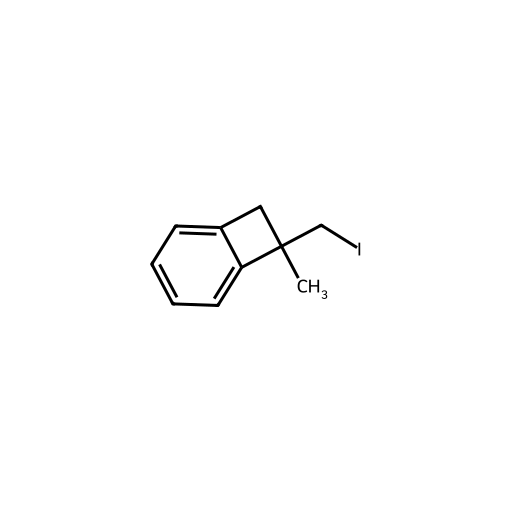 CC1(CI)Cc2ccccc21